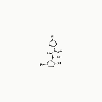 CC(C)c1ccc(-n2c(=O)[nH]n(-c3cc(C(C)C)ccc3O)c2=O)cc1